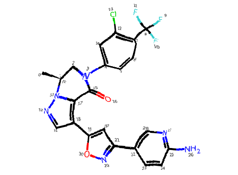 C[C@H]1CN(c2ccc(C(F)(F)F)c(Cl)c2)C(=O)c2c(-c3cc(-c4ccc(N)nc4)no3)cnn21